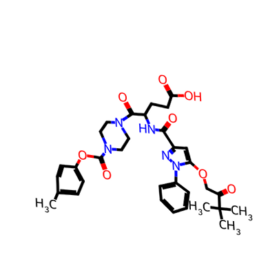 Cc1ccc(OC(=O)N2CCN(C(=O)C(CCC(=O)O)NC(=O)c3cc(OCC(=O)C(C)(C)C)n(-c4ccccc4)n3)CC2)cc1